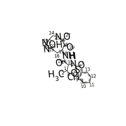 CC(C)C(NS(=O)(=O)c1ccccc1)C(=O)NC1Cc2nnc(o2)CNC(=O)C1=O